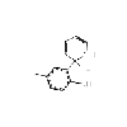 Nc1ccc(Cl)cc1C1(C=O)C=CC=CN1